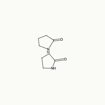 O=C1CCCN1.O=C1CCCN1